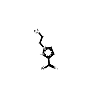 CC(C)C(=O)c1ccn(CCC(F)(F)F)n1